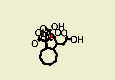 O=C(O)CC(C(=O)O)C1CCCCCCC1C(CC(=O)O)C(=O)O